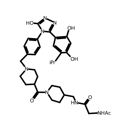 CC(=O)NCC(=O)NCC1CCN(C(=O)C2CCN(Cc3ccc(-n4c(O)nnc4-c4cc(C(C)C)c(O)cc4O)cc3)CC2)CC1